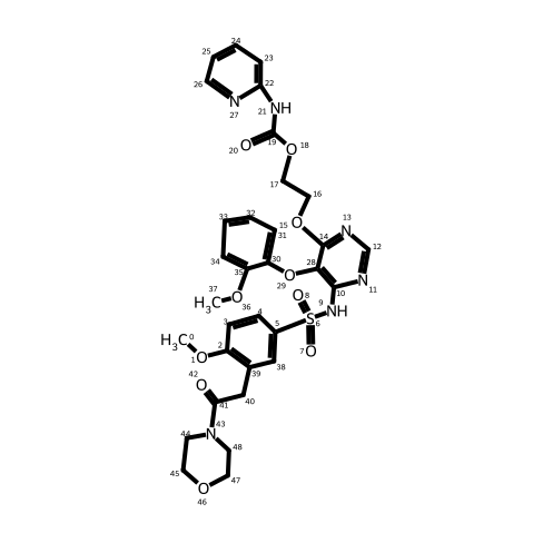 COc1ccc(S(=O)(=O)Nc2ncnc(OCCOC(=O)Nc3ccccn3)c2Oc2ccccc2OC)cc1CC(=O)N1CCOCC1